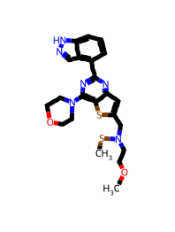 COCCN(Cc1cc2nc(-c3cccc4[nH]ncc34)nc(N3CCOCC3)c2s1)SC